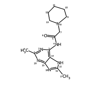 Cc1nc(NC(=O)CN2CCCCC2)c2[nH]c(C)nc2n1